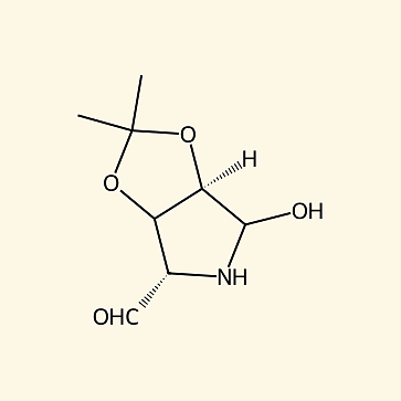 CC1(C)OC2[C@@H](O1)C(O)N[C@@H]2C=O